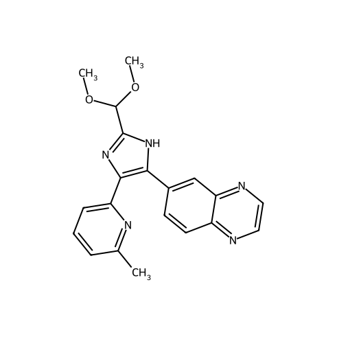 COC(OC)c1nc(-c2cccc(C)n2)c(-c2ccc3nccnc3c2)[nH]1